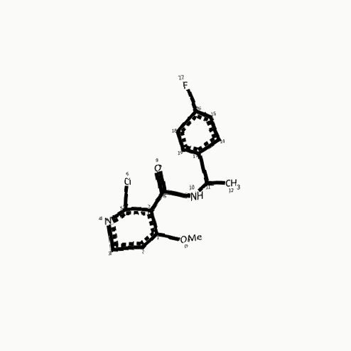 COc1ccnc(Cl)c1C(=O)NC(C)c1ccc(F)cc1